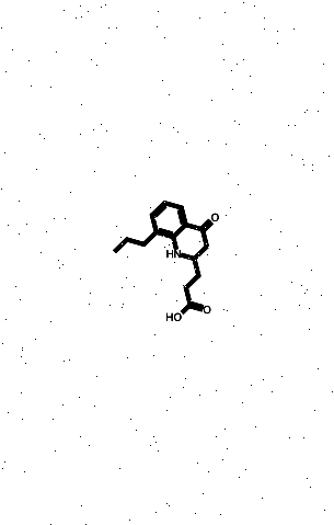 CCCc1cccc2c1NC(CCC(=O)O)CC2=O